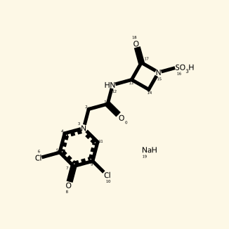 O=C(Cn1cc(Cl)c(=O)c(Cl)c1)NC1CN(S(=O)(=O)O)C1=O.[NaH]